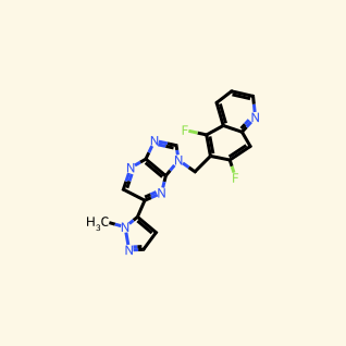 Cn1nccc1-c1cnc2ncn(Cc3c(F)cc4ncccc4c3F)c2n1